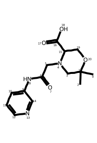 CC1(C)CN(CC(=O)Nc2cccnc2)C(C(=O)O)CO1